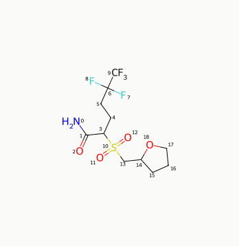 NC(=O)C(CCC(F)(F)C(F)(F)F)S(=O)(=O)CC1CCCO1